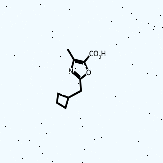 Cc1nc(CC2CCC2)oc1C(=O)O